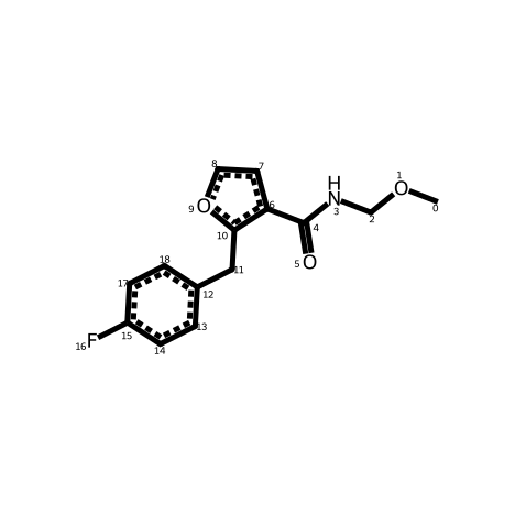 COCNC(=O)c1ccoc1Cc1ccc(F)cc1